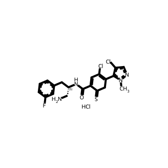 Cl.Cn1ncc(Cl)c1C1=C(Cl)C=C(C(=O)N[C@H](CN)Cc2cccc(F)c2)C(=S)C1